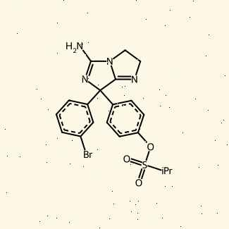 CC(C)S(=O)(=O)Oc1ccc(C2(c3cccc(Br)c3)N=C(N)N3CCN=C32)cc1